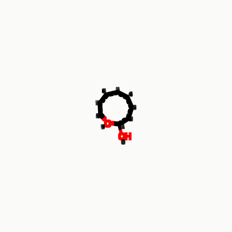 Oc1ccccccco1